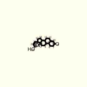 CCC12CCC3C4CCC(=O)C=C4CCC3C1CC[C@@]2(O)/C=C\CO